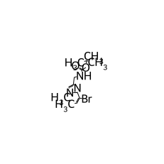 C/C=C(/Br)c1nc(CNC(=O)OC(C)(C)C)cn1C